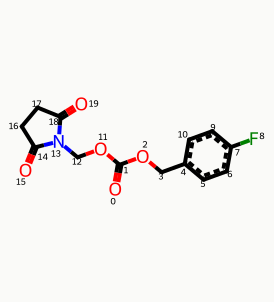 O=C(OCc1ccc(F)cc1)OCN1C(=O)CCC1=O